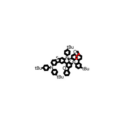 CC(C)(C)c1ccc(N2B3c4cc5occc5cc4N(c4ccc(C(C)(C)C)cc4-c4ccccc4)c4cc5c(oc6ccccc65)c(c43)-c3cc4c(cc32)sc2ccc(N(c3ccc(C(C)(C)C)cc3)c3ccc(C(C)(C)C)cc3)cc24)cc1